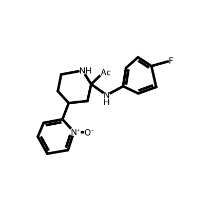 CC(=O)C1(Nc2ccc(F)cc2)CC(c2cccc[n+]2[O-])CCN1